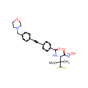 COC(C)(C(F)F)[C@H](NC(=O)c1ccc(C#Cc2ccc(CN3CCOCC3)cc2)cc1)C(=O)NO